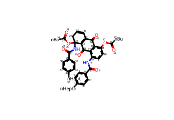 CCCCCCCc1ccc(C(=O)Nc2ccc(OC(=O)CCCC)c3c2C(=O)C2=C(C=CCC2(NC(=O)c2ccc(CCCCCCC)cc2)OC(=O)CCCC)C3=O)cc1